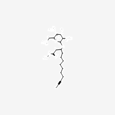 CC#CCCCCCCCC(CC(=O)OC(C)(C)C)OC1OC(COC(C)=O)[C@H](OC(C)=O)[C@H](C)C1OC(C)=O